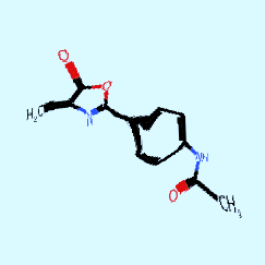 C=C1N=C(c2ccc(NC(C)=O)cc2)OC1=O